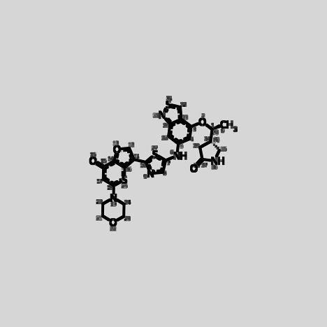 C[C@H](Oc1cc(Nc2cnc(-c3coc4c(=O)cc(N5CCOCC5)sc34)s2)cc2nscc12)[C@@H]1CNC(=O)C1